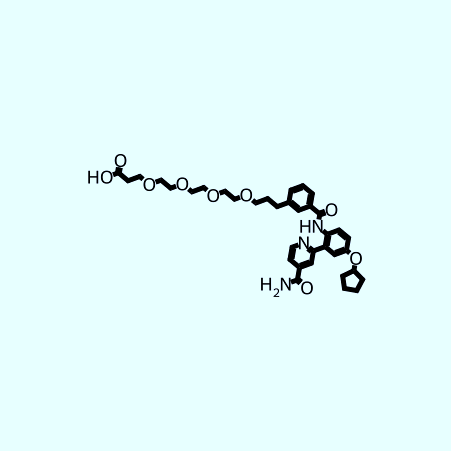 NC(=O)c1ccnc(-c2cc(OC3CCCC3)ccc2NC(=O)c2cccc(CCCOCCOCCOCCOCCC(=O)O)c2)c1